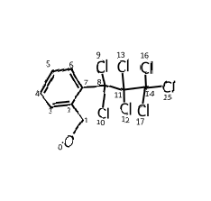 [O]Cc1ccccc1C(Cl)(Cl)C(Cl)(Cl)C(Cl)(Cl)Cl